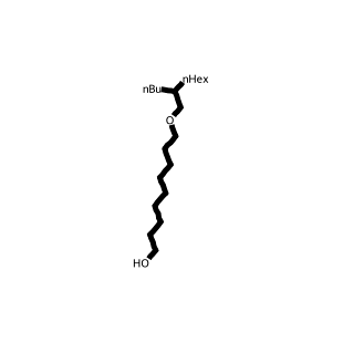 CCCCCCC(CCCC)COCCCCCCCCCO